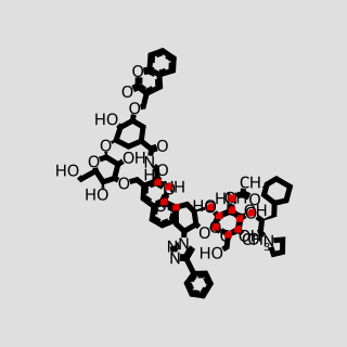 CC(=O)NC1C(O[C@@H](CC2CCCCC2)C(=O)N2CCC2)[C@@H](O)C(CO)O[C@H]1O[C@@H]1CC(C(=O)NCCNC(=O)C2CC(OCc3cc4ccccc4oc3=O)C(O)[C@H](O[C@@H]3OC(CO)[C@H](O)C(OCc4cc5ccccc5oc4=O)C3O)C2)CC(n2cc(-c3ccccc3)nn2)C1O[C@@H]1OC(C)[C@@H](O)C(O)C1O